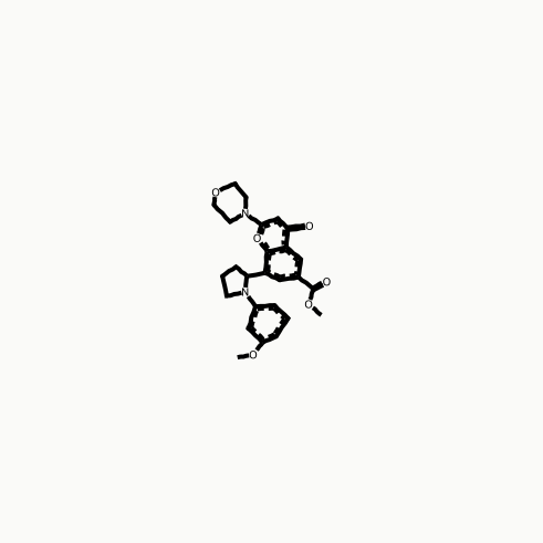 COC(=O)c1cc(C2CCCN2c2cccc(OC)c2)c2oc(N3CCOCC3)cc(=O)c2c1